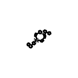 c1ccc(-c2cccc3c2c2ccc4cc2n3-c2cccc(c2)-c2cccc(c2)-c2nc(-c3ccc(-c5cccc6ccccc56)cc3)nc(n2)-c2cccc-4c2)cc1